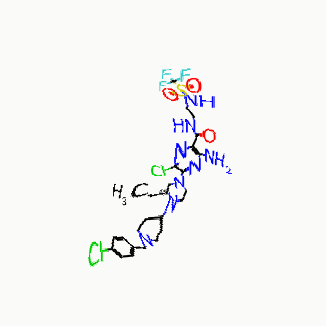 CC[C@H]1CN(c2nc(N)c(C(=O)NCCNS(=O)(=O)C(F)(F)F)nc2Cl)CCN1C1CCN(Cc2ccc(Cl)cc2)CC1